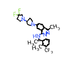 Cc1c([C@@H](C)Nc2nnc(C)c3ccc(N4CCC(N5CCC(F)(F)C5)CC4)cc23)cccc1C(F)(F)F